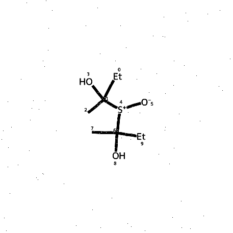 CCC(C)(O)[S+]([O-])C(C)(O)CC